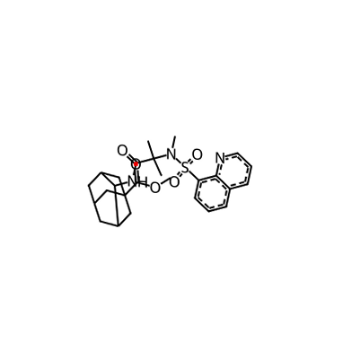 COC(=O)C12CC3CC(C1)C(NC(=O)C(C)(C)N(C)S(=O)(=O)c1cccc4cccnc14)C(C3)C2